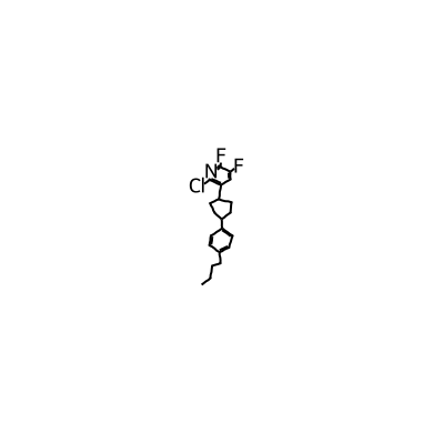 CCCCc1ccc(C2CCC(c3cc(F)c(F)nc3Cl)CC2)cc1